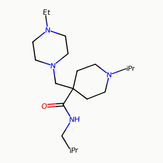 CCN1CCN(CC2(C(=O)NCC(C)C)CCN(C(C)C)CC2)CC1